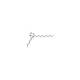 CCCCCCCCCCCC(F)(CCCCCC)S(=O)(=O)O